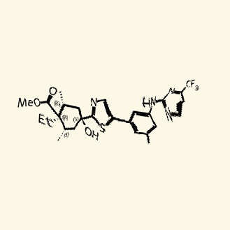 CC[C@]1(C(=O)OC)[C@H](C)C[C@](O)(c2ncc(-c3cc(C)cc(Nc4nccc(C(F)(F)F)n4)c3)s2)C[C@@H]1C